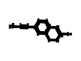 CC(C)C#Cc1ccc2c(c1)CCC(I)=C2